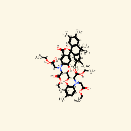 CC(=O)OCOC(=O)CN(CC(=O)OCOC(C)=O)c1ccc(C)cc1OCCOc1cc2c(cc1N(CC(=O)OCOC(C)=O)CC(=O)OCOC(C)=O)C(=O)OC21c2cc(C)c(OC(C)=O)cc2C(C)(C)c2cc(OC(C)=O)c(C(F)(F)F)cc21